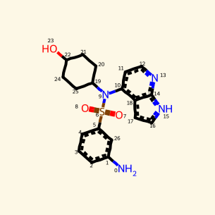 Nc1cccc(S(=O)(=O)N(c2ccnc3[nH]ccc23)C2CCC(O)CC2)c1